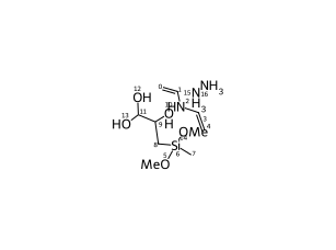 C=CNC=C.CO[Si](C)(CC(O)C(O)O)OC.N.N